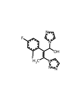 CC(=C(c1ccc(F)cc1F)C(O)n1ccnc1)n1ccnn1